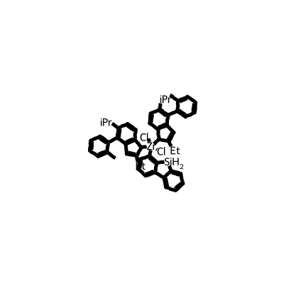 CCC1=Cc2c(ccc(C(C)C)c2-c2ccccc2C)[CH]1[Zr]([Cl])([Cl])([c]1cccc2c1[SiH2]c1ccccc1-2)[CH]1C(CC)=Cc2c1ccc(C(C)C)c2-c1ccccc1C